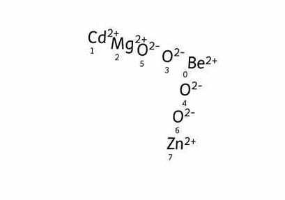 [Be+2].[Cd+2].[Mg+2].[O-2].[O-2].[O-2].[O-2].[Zn+2]